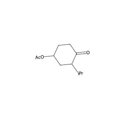 CC(=O)OC1CCC(=O)C(C(C)C)C1